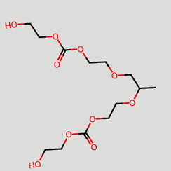 CC(COCCOC(=O)OCCO)OCCOC(=O)OCCO